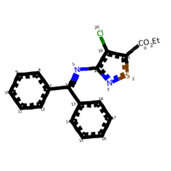 CCOC(=O)c1snc(N=C(c2ccccc2)c2ccccc2)c1Cl